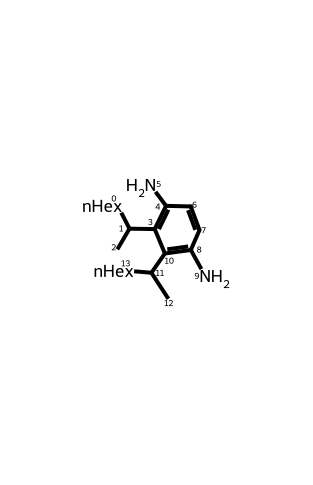 CCCCCCC(C)c1c(N)ccc(N)c1C(C)CCCCCC